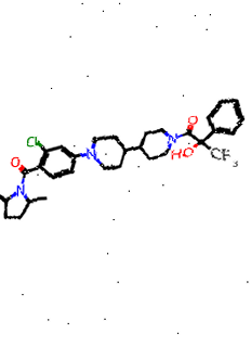 CC1CCC(C)N1C(=O)c1ccc(N2CCC(C3CCN(C(=O)C(O)(c4ccccc4)C(F)(F)F)CC3)CC2)cc1Cl